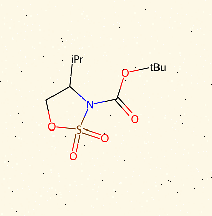 CC(C)C1COS(=O)(=O)N1C(=O)OC(C)(C)C